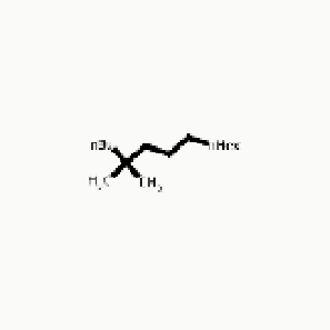 C[CH]CCC(C)(C)C[CH]CCCCCCC